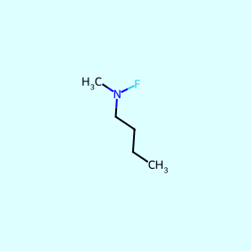 CCCCN(C)F